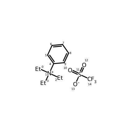 CC[N+](CC)(CC)c1ccccc1.O=S(=O)([O-])C(F)(F)F